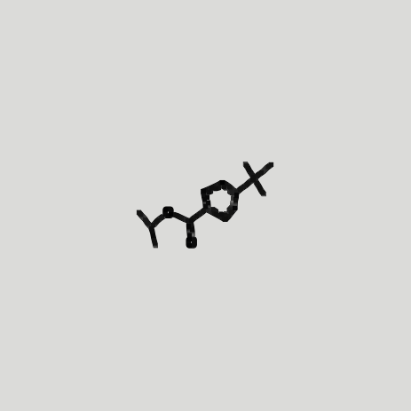 CC(C)OC(=O)c1ccc(C(C)(C)C)cc1